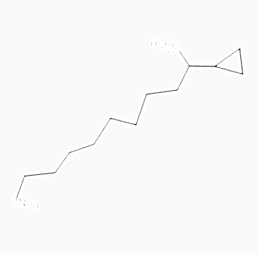 CCCCCCCCCCCCCCCCCC(C(=O)O)C1CC1